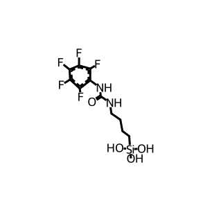 O=C(NCCCC[Si](O)(O)O)Nc1c(F)c(F)c(F)c(F)c1F